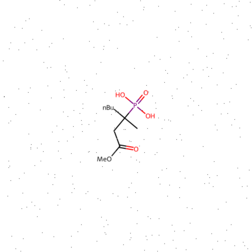 CCCCC(C)(CC(=O)OC)P(=O)(O)O